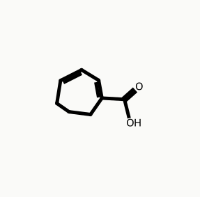 O=C(O)C1=CC=CCCC1